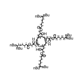 CCCCC(CCCC)CCCCCC(=O)OCC(O)CN1CCCN(CC(O)COC(=O)CCCCCC(CCCC)CCCC)CCN(CC(O)COC(=O)CCCCCC(CCCC)CCCC)CCCN(CC(O)COC(=O)CCCCCC(CCCC)CCCC)CC1